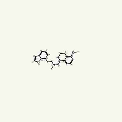 COc1cccc2c1CCCC2CN(C)CCc1cccc2ccoc12